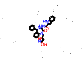 O=C(N[C@H]1N=C(c2ccccc2)c2ccccc2N(Cc2cc(O)no2)C1=O)c1cc2ccccc2[nH]1